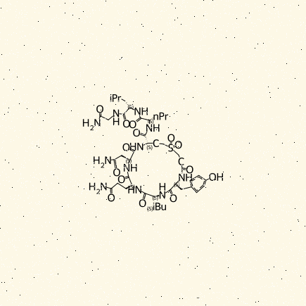 CCC[C@H](NC(=O)[C@@H]1CCS(=O)(=O)CCC(=O)N[C@@H](Cc2ccc(O)cc2)C(=O)N[C@@H]([C@@H](C)CC)C(=O)N[C@@H](CCC(N)=O)C(=O)N[C@@H](CC(N)=O)C(=O)N1)C(=O)N[C@@H](CC(C)C)C(=O)NCC(N)=O